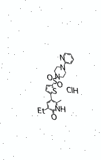 CCc1cc(-c2ccc(S(=O)(=O)N3CCN(c4ccccn4)CC3)s2)c(C)[nH]c1=O.Cl